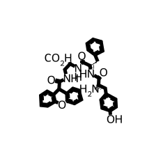 N[C@@H](Cc1ccc(O)cc1)C(=O)N[C@@H](Cc1ccccc1)C(=O)NC(CNC(=O)C1c2ccccc2Oc2ccccc21)C(=O)O